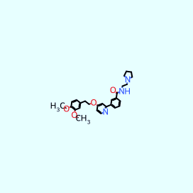 COc1ccc(CCOc2ccnc(-c3cccc(C(=O)NCCN4CCCC4)c3)c2)cc1OC